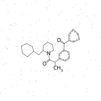 CC(C(=O)N1CCCCC1CC1CCCCC1)c1cccc(C(=O)c2ccccc2)c1